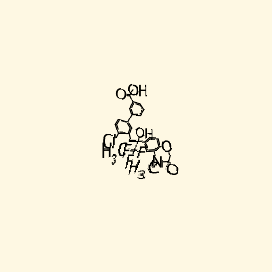 CC(c1cc(-c2cccc(C(=O)O)c2)ccc1Cl)C(O)(c1ccc2c(c1)N(C)C(=O)CO2)C(F)(F)F